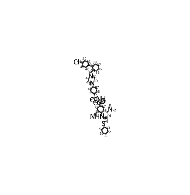 CN(C)CC[C@H](CSc1ccccc1)Nc1ccc(S(=O)(=O)NC(=O)c2ccc(N3CCN(Cc4ccccc4-c4ccc(Cl)cc4)CC3)cc2)cc1C#N